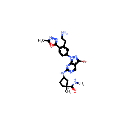 CNC(=O)[C@]1(C)CC[C@@H](Nc2ncc3c(Br)nn(-c4ccc(-c5nnc(C)o5)c(CCN)c4)c3n2)C1